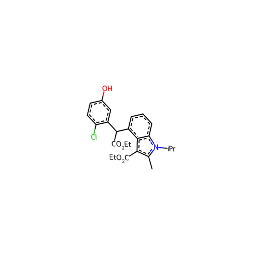 CCOC(=O)c1c(C)n(C(C)C)c2cccc(C(C(=O)OCC)c3cc(O)ccc3Cl)c12